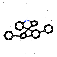 c1ccc(-c2ccc3c(c2)C2(c4ccccc4Nc4ccccc42)c2cc(-c4ccccc4)ccc2-3)cc1